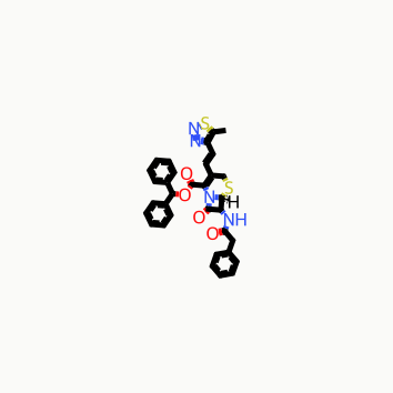 Cc1snnc1C=CC1=C(C(=O)OC(c2ccccc2)c2ccccc2)N2C(=O)C(NC(=O)Cc3ccccc3)[C@@H]2SC1